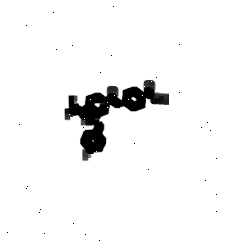 O=C(C[C@H]1CC[C@H](C(=O)O)CC1)N1CCc2c(C(F)F)nn(Cc3ccc(F)cc3)c2C1